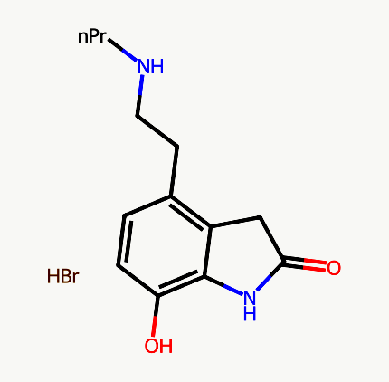 Br.CCCNCCc1ccc(O)c2c1CC(=O)N2